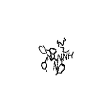 CCN(CC)CCCC(C)Nc1nc(-c2cn(Cc3cccc(C)c3)c3c(Cl)cccc23)nc2c(C)cccc12